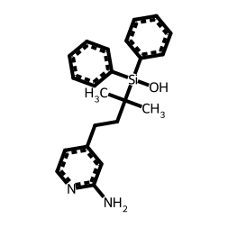 CC(C)(CCc1ccnc(N)c1)[Si](O)(c1ccccc1)c1ccccc1